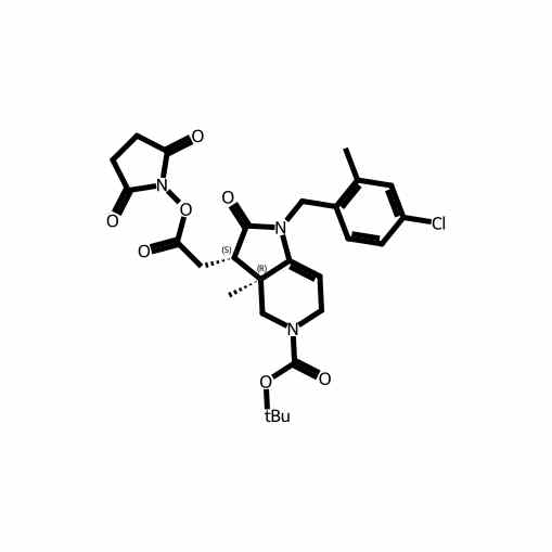 Cc1cc(Cl)ccc1CN1C(=O)[C@@H](CC(=O)ON2C(=O)CCC2=O)[C@]2(C)CN(C(=O)OC(C)(C)C)CC=C12